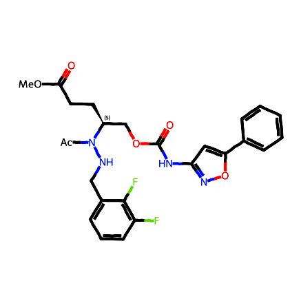 COC(=O)CC[C@@H](COC(=O)Nc1cc(-c2ccccc2)on1)N(NCc1cccc(F)c1F)C(C)=O